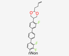 C=CCCC1OCC(c2ccc(-c3ccc(-c4ccc(CCCCCCCCC)c(F)c4F)cc3)cc2F)CO1